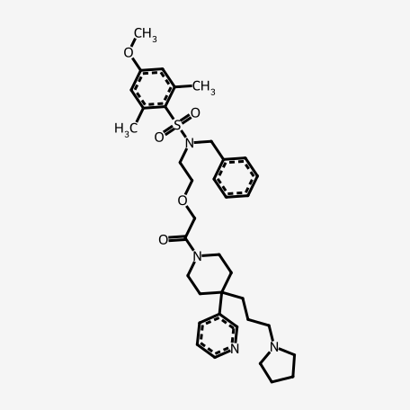 COc1cc(C)c(S(=O)(=O)N(CCOCC(=O)N2CCC(CCCN3CCCC3)(c3cccnc3)CC2)Cc2ccccc2)c(C)c1